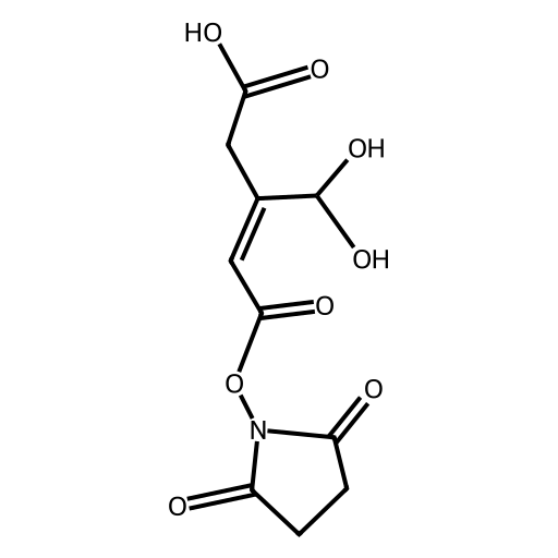 O=C(O)C/C(=C/C(=O)ON1C(=O)CCC1=O)C(O)O